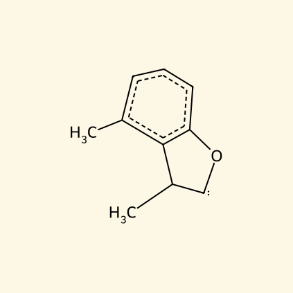 Cc1cccc2c1C(C)[C]O2